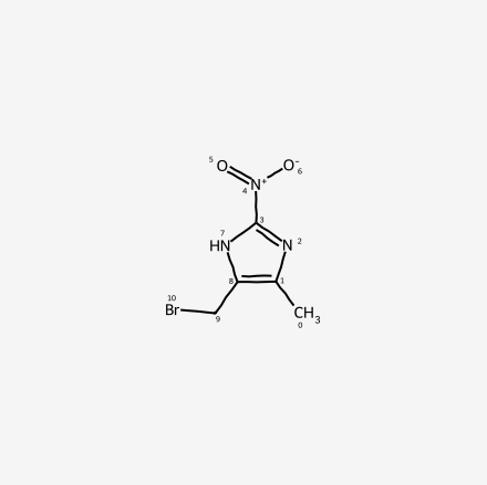 Cc1nc([N+](=O)[O-])[nH]c1CBr